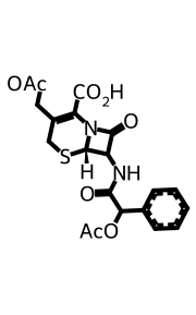 CC(=O)OCC1=C(C(=O)O)N2C(=O)C(NC(=O)C(OC(C)=O)c3ccccc3)[C@@H]2SC1